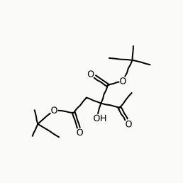 CC(=O)C(O)(CC(=O)OC(C)(C)C)C(=O)OC(C)(C)C